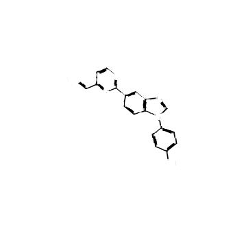 C=Cc1ccnc(-c2ccc3c(c2)ncn3-c2ccc(C)cc2)n1